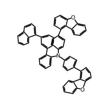 c1cc(-c2ccccc2N(c2ccc(-c3cccc4oc5ccccc5c34)cc2)c2ccc(-c3cccc4oc5ccccc5c34)cc2)cc(-c2cccc3ccccc23)c1